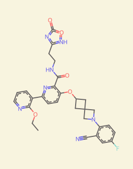 CCOc1ncccc1-c1ccc(OC2CC3(C2)CN(c2ccc(F)cc2C#N)C3)c(C(=O)NCCc2nc(=O)o[nH]2)n1